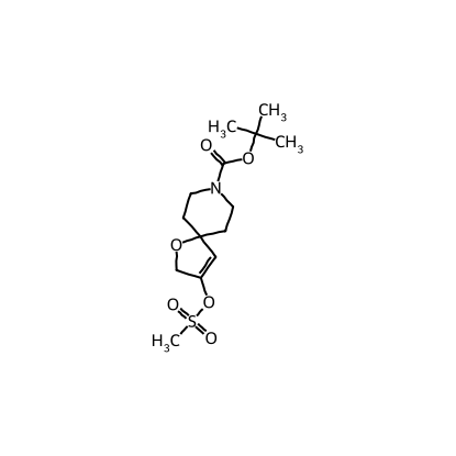 CC(C)(C)OC(=O)N1CCC2(C=C(OS(C)(=O)=O)CO2)CC1